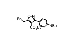 CCOC(=O)c1c(-c2ccc(C(C)(C)C)cc2)noc1CBr